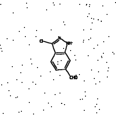 O=Cc1ccc2c(Cl)n[nH]c2c1